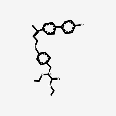 CCOC(=O)[C@H](Cc1ccc(OCC=C(C)c2ccc(-c3ccc(Br)cc3)cc2)cc1)OCC